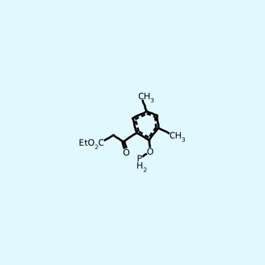 CCOC(=O)CC(=O)c1cc(C)cc(C)c1OP